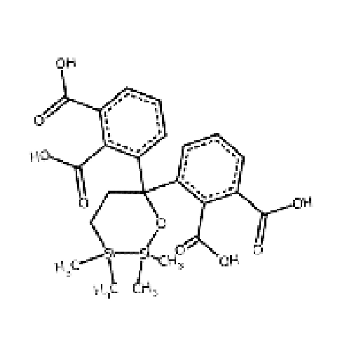 C[Si]1(C)CCC(c2cccc(C(=O)O)c2C(=O)O)(c2cccc(C(=O)O)c2C(=O)O)O[Si]1(C)C